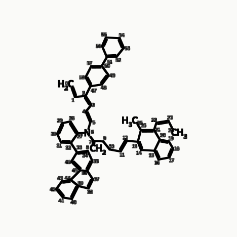 C=C/C(=C\C=C\N(C(=C)CC/C=C/c1cc2ccccc2c(/C=C\C)c1C)c1ccccc1-c1ccc2ccc3ccccc3c2c1)c1ccc(-c2ccccc2)cc1